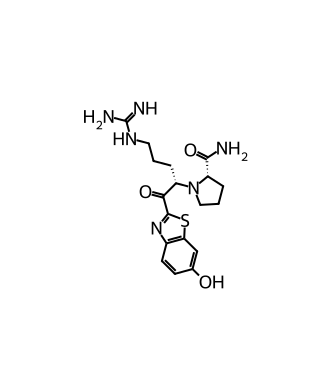 N=C(N)NCCC[C@@H](C(=O)c1nc2ccc(O)cc2s1)N1CCC[C@H]1C(N)=O